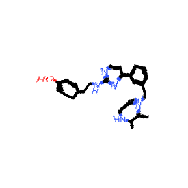 CC1NCCN(Cc2cccc(-c3ccnc(NCCc4ccc(O)cc4)n3)c2)C1C